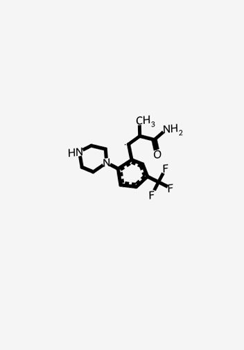 CC([CH]c1cc(C(F)(F)F)ccc1N1CCNCC1)C(N)=O